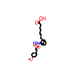 COc1ccc(C=CS(=O)(=O)NC2C3CCC(CC3)C2CC=CCCCC(=O)O)cc1